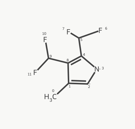 CC1=[C][N]C(C(F)F)=C1C(F)F